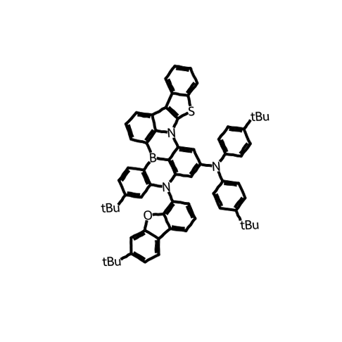 CC(C)(C)c1ccc(N(c2ccc(C(C)(C)C)cc2)c2cc3c4c(c2)-n2c5sc6ccccc6c5c5cccc(c52)B4c2ccc(C(C)(C)C)cc2N3c2cccc3c2oc2cc(C(C)(C)C)ccc23)cc1